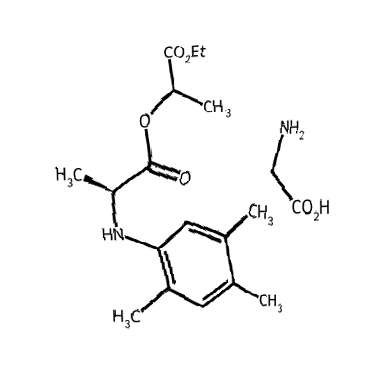 CCOC(=O)C(C)OC(=O)[C@H](C)Nc1cc(C)c(C)cc1C.NCC(=O)O